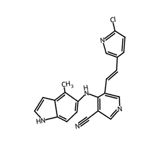 Cc1c(Nc2c(C#N)cncc2C=Cc2ccc(Cl)nc2)ccc2[nH]ccc12